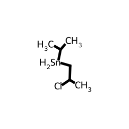 CC(Cl)[CH2][SnH2][CH](C)C